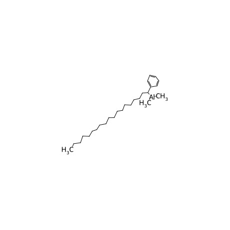 CCCCCCCCCCCCCCCCCC[CH](c1ccccc1)[Al]([CH3])[CH3]